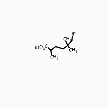 CCOC(=O)C(C)CCC(C)(C)CC(C)C